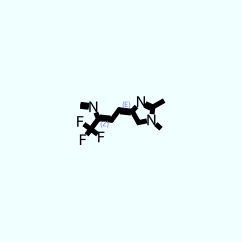 C=N/C(=C\C=C1/CN(C)C(C)=N1)C(F)(F)F